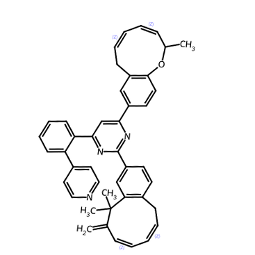 C=C1/C=C\C=C/Cc2ccc(-c3nc(-c4ccc5c(c4)C/C=C\C=C/C(C)O5)cc(-c4ccccc4-c4ccncc4)n3)cc2C1(C)C